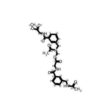 COC(=O)CNC(=O)c1cccc(CN(COC(=O)CNC(=O)c2cccc(CNC(C)=O)c2)C(C)=O)c1